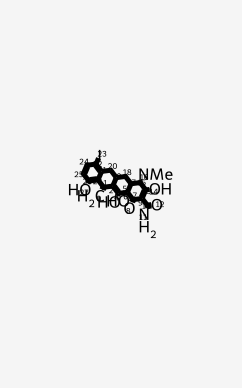 C=C1C2=C(O)[C@]3(O)C(=O)C(C(N)=O)=C(O)[C@@H](NC)C3CC2Cc2c(I)ccc(O)c21